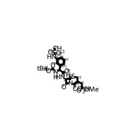 COC(=O)CC1=C(C(=O)O)N2C(=O)[C@@H](NC(=O)C(NC(=O)OC(C)(C)C)c3cccc(NS(C)(=O)=O)c3)[C@@H]2SC1